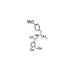 COc1ccc(CC(C)NCC(O)c2ccc(O)c(CO)c2)cc1